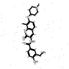 Cc1c(OC2CCN(C)CC2)ccc2cc(NC(=O)c3ccc(O)c(CC(C)C)c3)c(=O)oc12